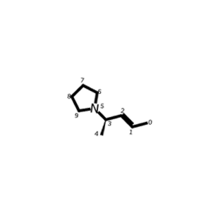 C/C=C/[C@@H](C)N1CCCC1